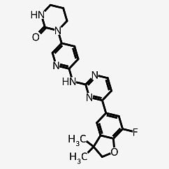 CC1(C)COc2c(F)cc(-c3ccnc(Nc4ccc(N5CCCNC5=O)cn4)n3)cc21